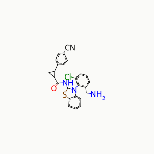 N#Cc1ccc(C2CC2C(=O)NC2Sc3ccccc3N2c2c(Cl)cccc2CN)cc1